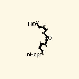 CCCCCCCC/C=C\CC1OC1C/C=C\CCO